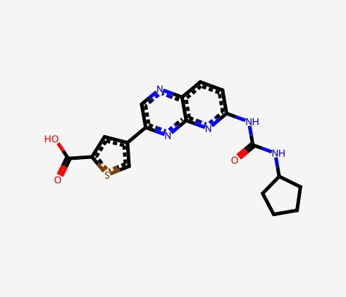 O=C(Nc1ccc2ncc(-c3csc(C(=O)O)c3)nc2n1)NC1CCCC1